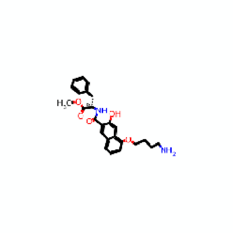 COC(=O)[C@H](Cc1ccccc1)NC(=O)c1cc2cccc(OCCCCN)c2cc1O